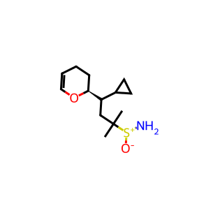 CC(C)(CC(C1CC1)[C@@H]1CCC=CO1)[S+](N)[O-]